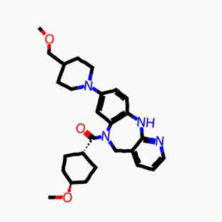 COCC1CCN(c2ccc3c(c2)N(C(=O)[C@H]2CC[C@H](OC)CC2)Cc2cccnc2N3)CC1